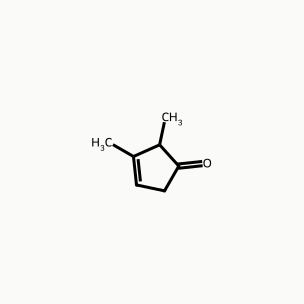 CC1=CCC(=O)C1C